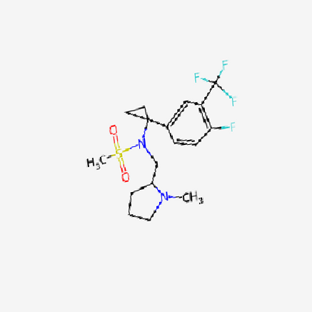 CN1CCCC1CN(C1(c2ccc(F)c(C(F)(F)F)c2)CC1)S(C)(=O)=O